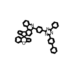 c1ccc(-c2ccc(-c3nc(-c4ccccc4)nc(-c4ccc(-c5nc6ccccc6c6c7c(ccc56)C5(c6ccccc6Oc6ccccc65)c5ccccc5-7)cc4)n3)cc2)cc1